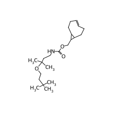 CC(C)(C)CCOC(C)(C)CCNC(=O)OCC1C2CC/C=C/CCC21